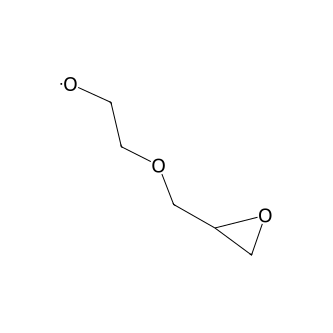 [O]CCOCC1CO1